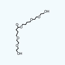 [O]C(CCCOCCOCCO)OCCCCOCCOCCO